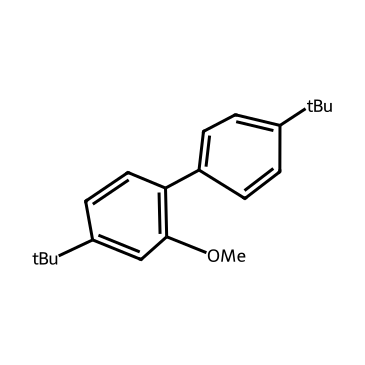 COc1cc(C(C)(C)C)ccc1-c1ccc(C(C)(C)C)cc1